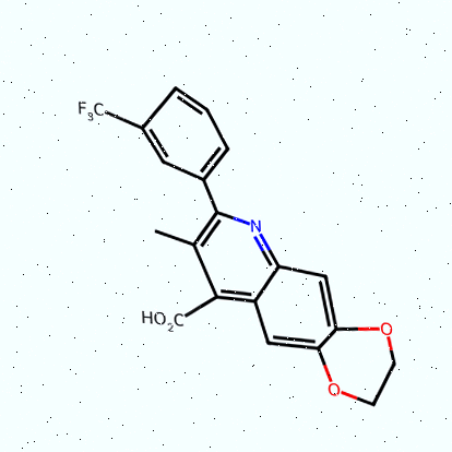 Cc1c(-c2cccc(C(F)(F)F)c2)nc2cc3c(cc2c1C(=O)O)OCCO3